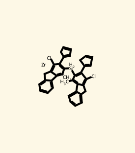 Cc1c([SiH2]c2c(C)c3c(c(Cl)c2C2=CC=CC2)Cc2ccccc2-3)c(C2=CC=CC2)c(Cl)c2c1-c1ccccc1C2.[Zr]